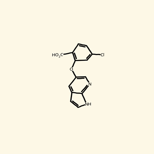 O=C(O)c1ccc(Cl)cc1Oc1cnc2[nH]ccc2c1